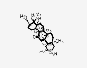 CC1(C)[C@H](O)CC[C@]2(C)[C@H]3C(=O)C=C4[C@@H]5C[C@@](C)(C(=O)O)CC[C@]5(C)CC[C@@]4(C)[C@]3(C)CC[C@@H]12